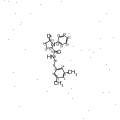 Cc1cc(C)cc(C[CH]NC(=O)C2CCC(=O)N2c2ccccc2)c1